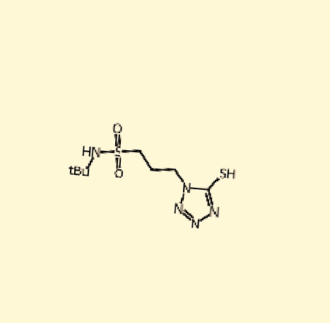 CC(C)(C)NS(=O)(=O)CCCn1nnnc1S